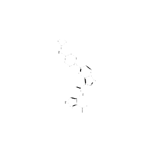 O=C(Nc1c[nH]nc1C(F)F)c1cnn2ccc(N3CCC(NC4COC4)CC3)nc12